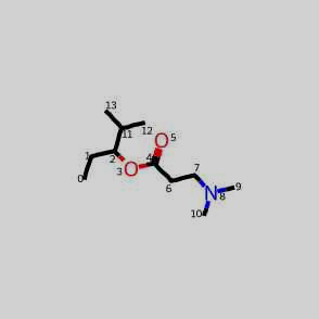 CCC(OC(=O)CCN(C)C)C(C)C